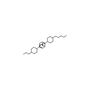 CCCCCC1CCC(C23CCC(C4CCC(CCC)CC4)(CC2)CC3)CC1